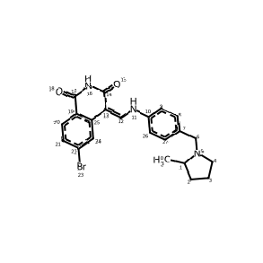 CC1CCCN1Cc1ccc(N/C=C2\C(=O)NC(=O)c3ccc(Br)cc32)cc1